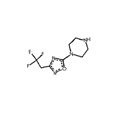 FC(F)(F)Cc1noc(N2CCNCC2)n1